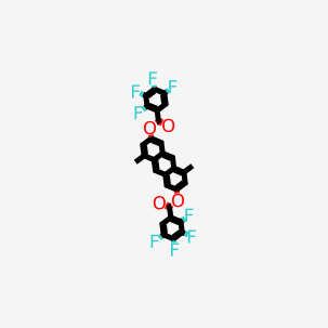 Cc1cc(OC(=O)c2cc(F)c(F)c(F)c2F)cc2cc3c(C)cc(OC(=O)c4cc(F)c(F)c(F)c4F)cc3cc12